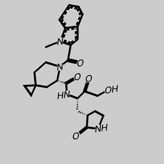 Cn1c(C(=O)N2CCC3(CC3)C[C@H]2C(=O)N[C@@H](C[C@@H]2CCNC2=O)C(=O)CO)cc2ccccc21